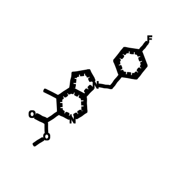 COC(=O)c1ncc2c(ccn2Cc2ccc(F)cc2)c1C